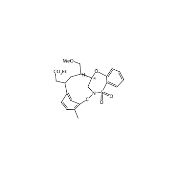 CCOC(=O)CC1CC(COC)[C@@H]2CN(Cc3cc1ccc3C)S(=O)(=O)c1ccccc1O2